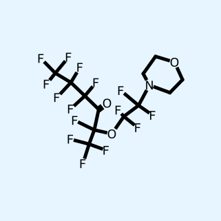 O=C(C(F)(F)C(F)(F)C(F)(F)F)C(F)(OC(F)(F)C(F)(F)N1CCOCC1)C(F)(F)F